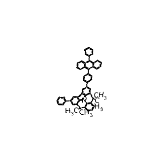 CC1(C)c2cccc3c2-n2c4c1cc(-c1ccccc1)cc4c1cc(-c4ccc(-c5c6ccccc6c(-c6ccccc6)c6ccccc56)cc4)cc(c12)C3(C)C